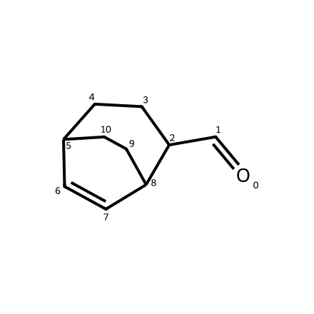 O=CC1CCC2C=CC1CC2